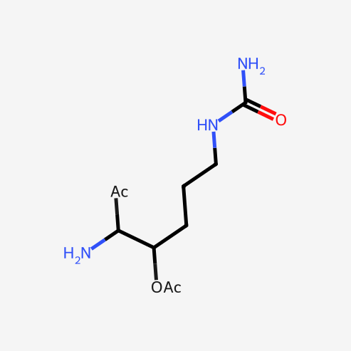 CC(=O)OC(CCCNC(N)=O)C(N)C(C)=O